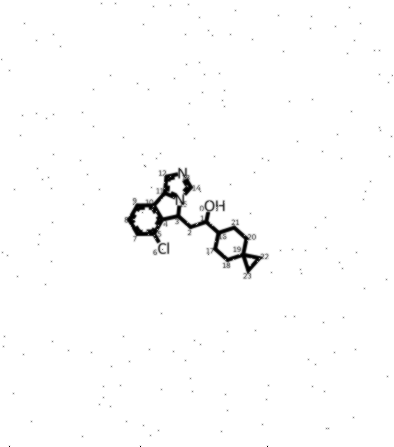 OC(CC1c2c(Cl)cccc2-c2cncn21)C1CCC2(CC1)CC2